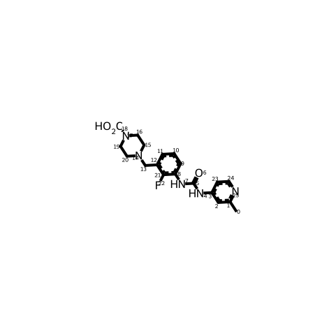 Cc1cc(NC(=O)Nc2cccc(CN3CCN(C(=O)O)CC3)c2F)ccn1